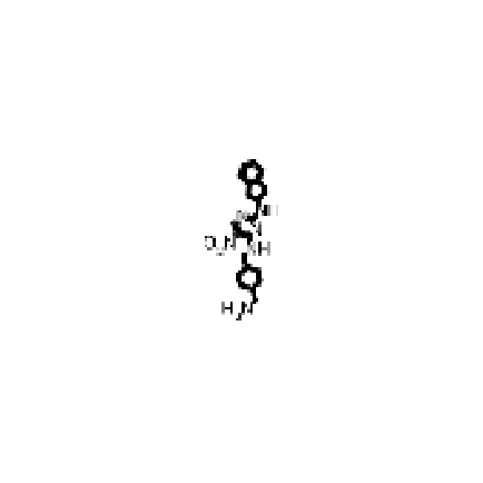 NCC1CCC(CNc2nc(NC3Cc4ccccc4C3)ncc2[N+](=O)[O-])CC1